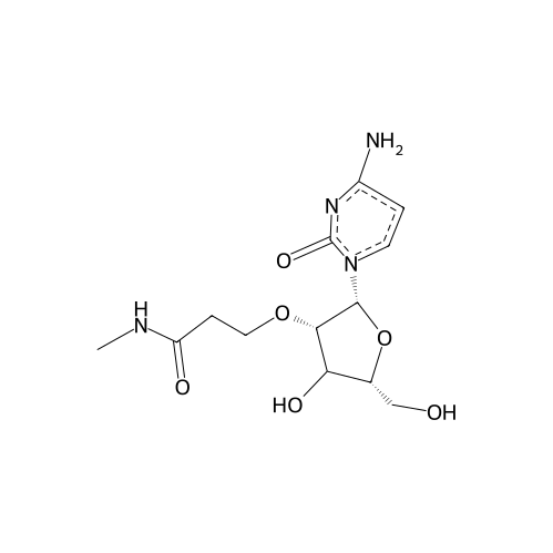 CNC(=O)CCO[C@H]1C(O)[C@@H](CO)O[C@H]1n1ccc(N)nc1=O